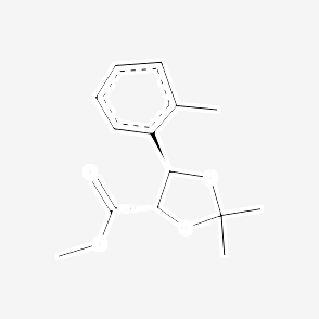 COC(=O)[C@H]1OC(C)(C)O[C@@H]1c1ccccc1C